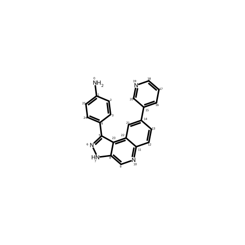 Nc1ccc(-c2n[nH]c3cnc4ccc(-c5cccnc5)cc4c23)cc1